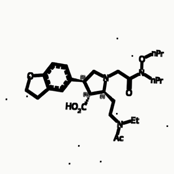 CCCON(CCC)C(=O)CN1C[C@H](c2ccc3c(c2)CCO3)[C@@H](C(=O)O)[C@@H]1CCN(CC)C(C)=O